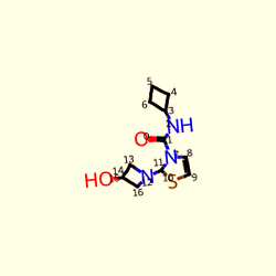 O=C(NC1CCC1)N1C=CSC1N1CC(O)C1